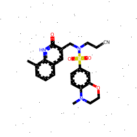 Cc1cccc2cc(CN(CCC#N)S(=O)(=O)c3ccc4c(c3)OCCN4C)c(=O)[nH]c12